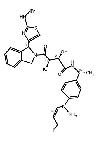 CC(C)Nc1nc([C@@H]2c3ccccc3CN2C(=O)[C@H](O)[C@@H](O)C(=O)N[C@H](C)c2ccc(N(N)/C=C\CI)cc2)cs1